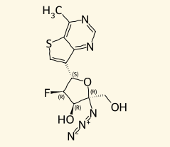 Cc1ncnc2c([C@@H]3O[C@@](CO)(N=[N+]=[N-])[C@@H](O)[C@H]3F)csc12